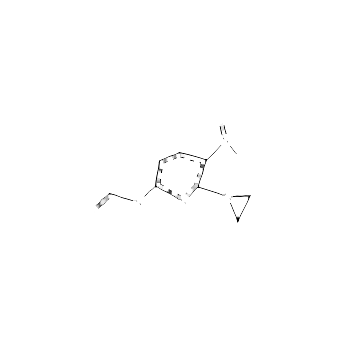 O=CNc1ccc([N+](=O)[O-])c(N2CC2)n1